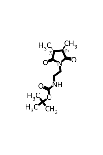 C[C@H]1C(=O)N(CCNC(=O)OC(C)(C)C)C(=O)[C@@H]1C